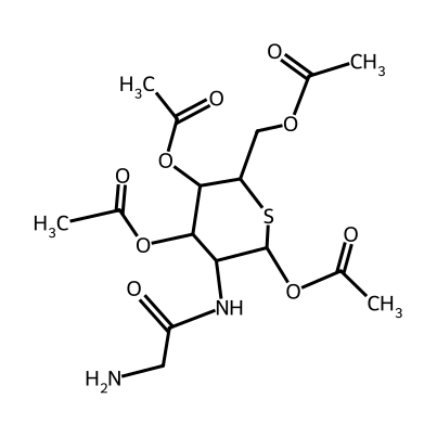 CC(=O)OCC1SC(OC(C)=O)C(NC(=O)CN)C(OC(C)=O)C1OC(C)=O